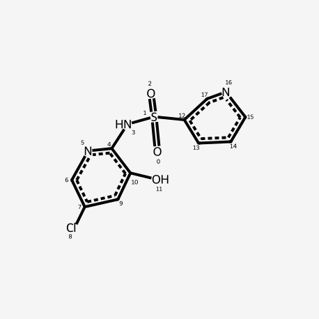 O=S(=O)(Nc1ncc(Cl)cc1O)c1cccnc1